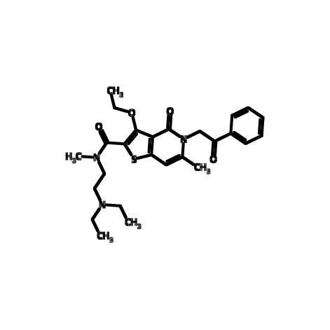 CCOc1c(C(=O)N(C)CCN(CC)CC)sc2cc(C)n(CC(=O)c3ccccc3)c(=O)c12